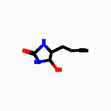 CSCCC1NC(=O)NC1O